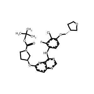 CC(C)(C)OC(=O)N1CC[C@H](Oc2ccc3ncnc(Nc4ccc(OC[C@@H]5CCOC5)c(Cl)c4F)c3n2)C1